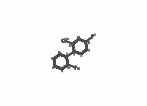 Fc1ccc(-c2c[c]ccc2F)c(Cl)c1